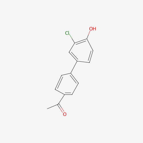 CC(=O)c1ccc(-c2ccc(O)c(Cl)c2)cc1